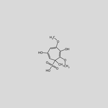 COC1=CC(O)=CC(C)(S(=O)(=O)O)C(OC)=C1O